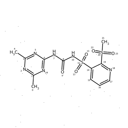 Cc1nc(C)nc(NC(=O)NS(=O)(=O)c2cccnc2S(C)(=O)=O)n1